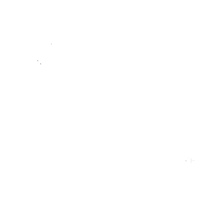 CCCCCCCCCc1cccc[n+]1[O-]